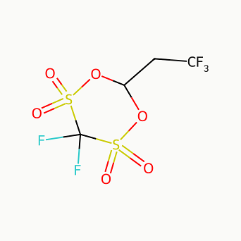 O=S1(=O)OC(CC(F)(F)F)OS(=O)(=O)C1(F)F